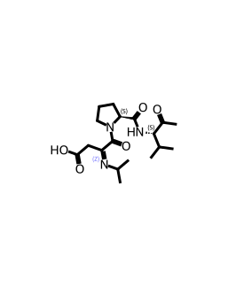 CC(=O)[C@@H](NC(=O)[C@@H]1CCCN1C(=O)/C(CC(=O)O)=N\C(C)C)C(C)C